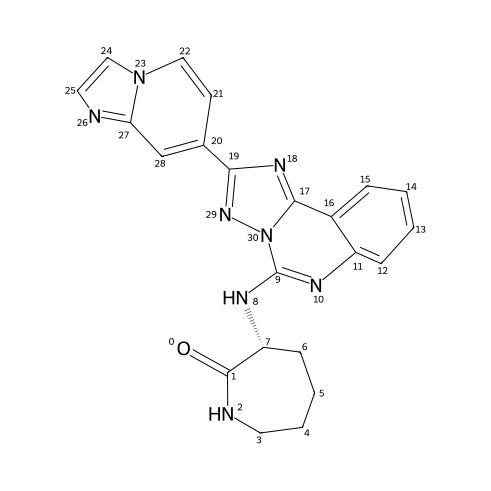 O=C1NCCCC[C@H]1Nc1nc2ccccc2c2nc(-c3ccn4ccnc4c3)nn12